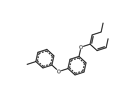 C/C=C\C(=C/CC)Oc1cccc(Oc2cccc(C)c2)c1